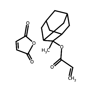 C=CC(=O)OC1(C)C2CC3CC(C2)CC1C3.O=C1C=CC(=O)O1